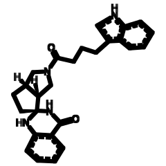 O=C1N[C@]2(CC[C@@H]3CN(C(=O)CCCc4c[nH]c5ccccc45)C[C@@H]32)Nc2ccccc21